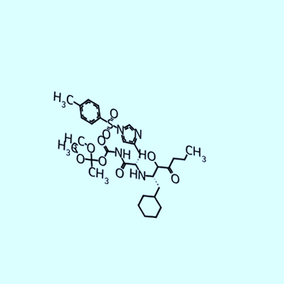 CCCC(=O)C(O)[C@H](CC1CCCCC1)N[C@@H](Cc1cn(S(=O)(=O)c2ccc(C)cc2)cn1)C(=O)NC(=O)OC(C)(OC)OC